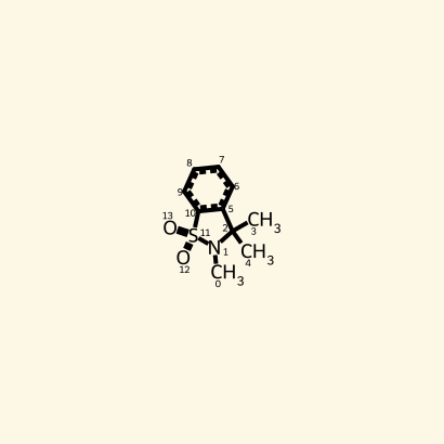 CN1C(C)(C)c2ccccc2S1(=O)=O